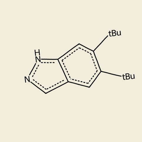 CC(C)(C)c1cc2cn[nH]c2cc1C(C)(C)C